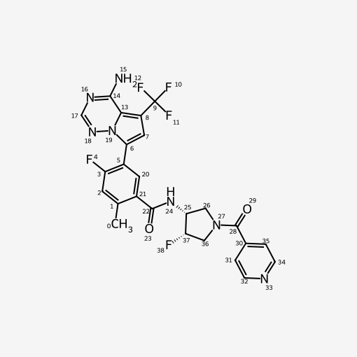 Cc1cc(F)c(-c2cc(C(F)(F)F)c3c(N)ncnn23)cc1C(=O)N[C@@H]1CN(C(=O)c2ccncc2)C[C@@H]1F